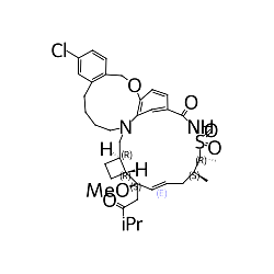 CO[C@]1(CC(=O)C(C)C)/C=C/C[C@H](C)[C@@H](C)S(=O)(=O)NC(=O)c2ccc3c(c2)N(CCCCc2cc(Cl)ccc2CO3)C[C@@H]2CC[C@H]21